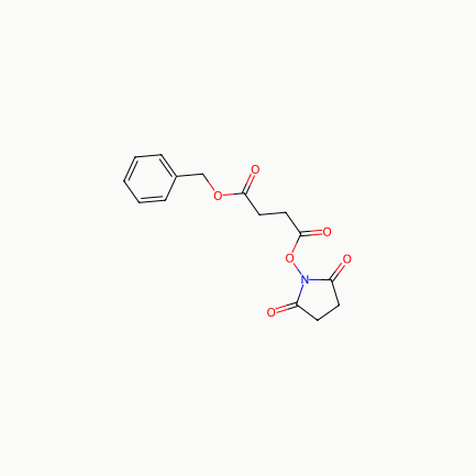 O=C(CCC(=O)ON1C(=O)CCC1=O)OCc1ccccc1